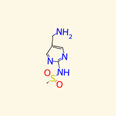 CS(=O)(=O)Nc1ncc(CN)cn1